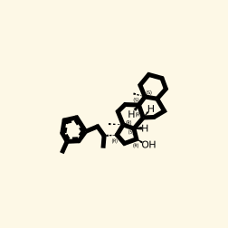 Cc1cccc(CC(C)[C@H]2C[C@@H](O)[C@H]3[C@@H]4CCC5CCCC[C@]5(C)[C@H]4CC[C@@]32C)c1